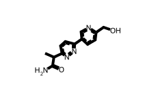 C[C](C(N)=O)c1ccc(-c2ccc(CO)nc2)nn1